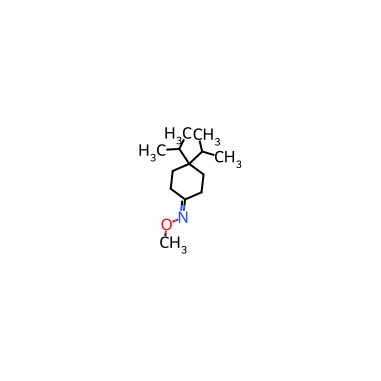 CON=C1CCC(C(C)C)(C(C)C)CC1